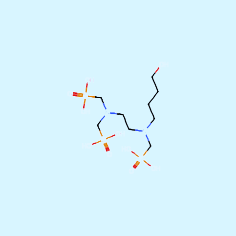 O=P(O)(O)CN(CCCCO)CCN(CP(=O)(O)O)CP(=O)(O)O